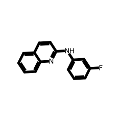 Fc1cccc(Nc2ccc3ccccc3n2)c1